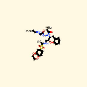 COCCNCC(=O)NN(C(=O)CC(C)(C)C)[C@@H](Cc1ccccc1)[C@H](O)CNC(C(C)C)S(=O)(=O)c1ccc2c(c1)OCCO2